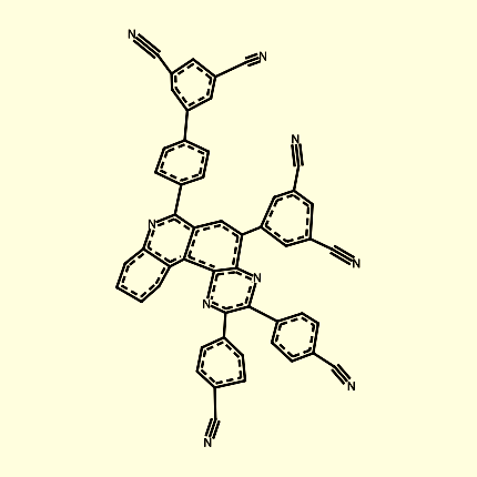 N#Cc1ccc(-c2nc3c(-c4cc(C#N)cc(C#N)c4)cc4c(-c5ccc(-c6cc(C#N)cc(C#N)c6)cc5)nc5ccccc5c4c3nc2-c2ccc(C#N)cc2)cc1